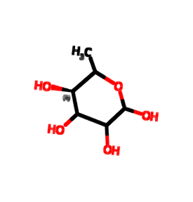 CC1OC(O)C(O)C(O)[C@H]1O